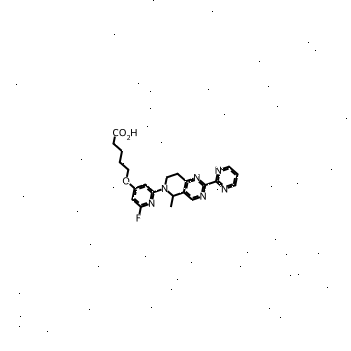 CC1c2cnc(-c3ncccn3)nc2CCN1c1cc(OCCCCC(=O)O)cc(F)n1